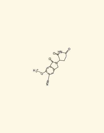 COc1cc2c(cc1C#N)CN(C1CCC(=O)NC1=O)C2=O